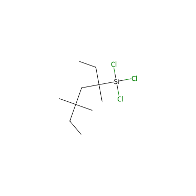 CCC(C)(C)CC(C)(CC)[Si](Cl)(Cl)Cl